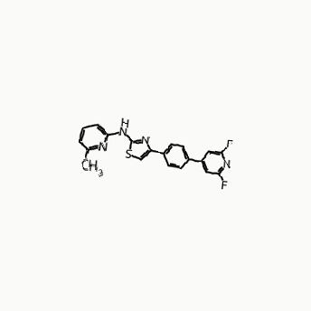 Cc1cccc(Nc2nc(-c3ccc(-c4cc(F)nc(F)c4)cc3)cs2)n1